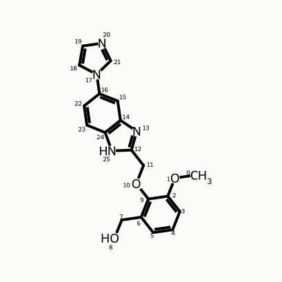 COc1cccc(CO)c1OCc1nc2cc(-n3ccnc3)ccc2[nH]1